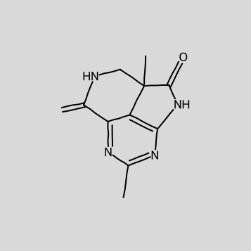 C=C1NCC2(C)C(=O)Nc3nc(C)nc1c32